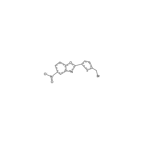 O=[N+]([O-])c1ccc2oc(-c3ccc(CBr)s3)nc2c1